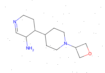 NC1C=NCCC1C1CCN(C2COC2)CC1